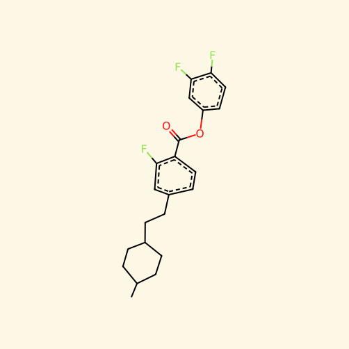 CC1CCC(CCc2ccc(C(=O)Oc3ccc(F)c(F)c3)c(F)c2)CC1